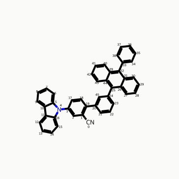 N#Cc1cc(-n2c3ccccc3c3ccccc32)ccc1-c1cccc(-c2c3ccccc3c(-c3ccccc3)c3ccccc23)c1